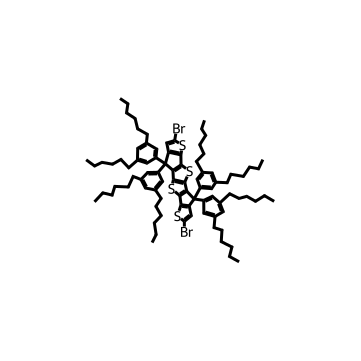 CCCCCCc1cc(CCCCCC)cc(C2(c3cc(CCCCCC)cc(CCCCCC)c3)c3cc(Br)sc3-c3sc4c5c(sc4c32)-c2sc(Br)cc2C5(c2cc(CCCCCC)cc(CCCCCC)c2)c2cc(CCCCCC)cc(CCCCCC)c2)c1